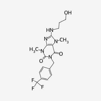 Cn1c(NCCCO)nc2c1c(=O)n(Cc1ccc(C(F)(F)F)cc1)c(=O)n2C